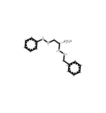 O=C(O)[C@@H](COOc1ccccc1)OOCc1ccccc1